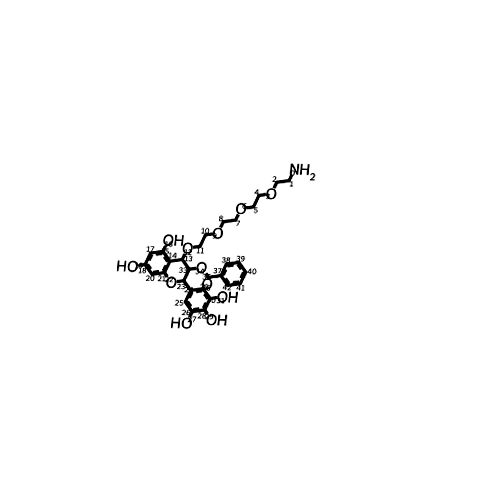 NCCOCCOCCOCCOC1c2c(O)cc(O)cc2OC(c2cc(O)c(O)c(O)c2)C1OC(=O)c1ccccc1